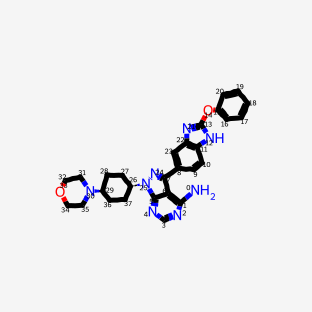 Nc1ncnc2c1c(-c1ccc3[nH]c(Oc4ccccc4)nc3c1)nn2[C@H]1CC[C@H](N2CCOCC2)CC1